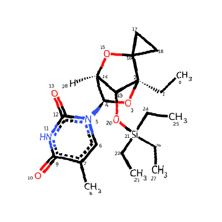 CC[C@@]12O[C@@H](n3cc(C)c(=O)[nH]c3=O)[C@@H](OC13CC3)C2O[Si](CC)(CC)CC